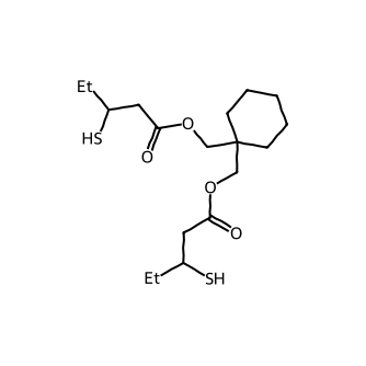 CCC(S)CC(=O)OCC1(COC(=O)CC(S)CC)CCCCC1